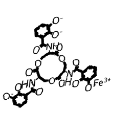 O=C(N[C@H]1COC(=O)[C@@H](NC(=O)c2cccc([O-])c2[O-])COC(=O)[C@@H](NC(=O)c2cccc([O-])c2[O-])COC1=O)c1cccc([O-])c1[O-].[Fe+3]